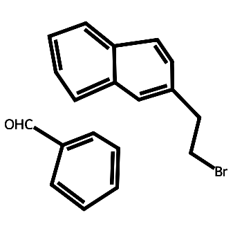 BrCCc1ccc2ccccc2c1.O=Cc1ccccc1